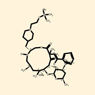 CCN1C[C@H](C)C[C@@](C)(OC)[C@H](O[C@@H]2O[C@H](C)C[C@H](N(C)C)[C@H]2OC(=O)c2ccccc2)[C@@H](C)C(=O)C(C)(C)C(=O)OC[C@H]1CC1CCN(CCO[Si](C)(C)C(C)(C)C)CC1